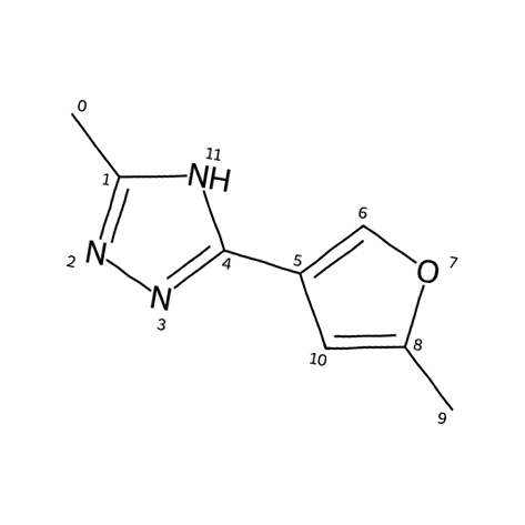 Cc1nnc(-c2coc(C)c2)[nH]1